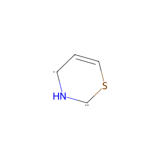 [C]1N[CH]C=CS1